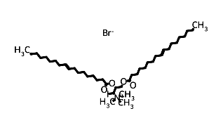 CCCCCCCCC=CCCCCCCCC(=O)OCC(OC(=O)CCCCCCCC=CCCCCCCCC)C(I)[N+](C)(C)C.[Br-]